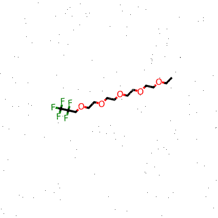 CCOCCOCCOCCOCCOCC(F)(F)C(F)(F)F